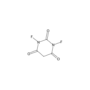 O=C1CC(=O)N(F)C(=O)N1F